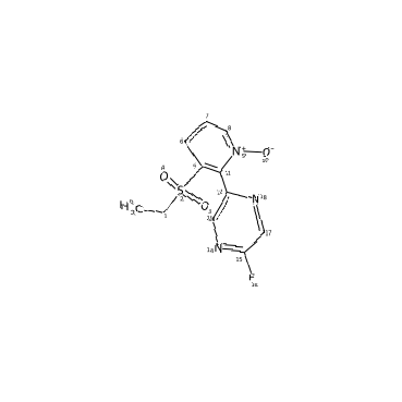 CCS(=O)(=O)c1ccc[n+]([O-])c1-c1cnc(F)cn1